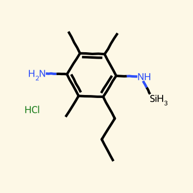 CCCc1c(C)c(N)c(C)c(C)c1N[SiH3].Cl